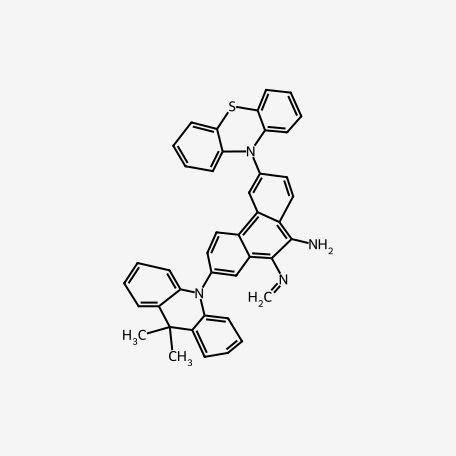 C=Nc1c(N)c2ccc(N3c4ccccc4Sc4ccccc43)cc2c2ccc(N3c4ccccc4C(C)(C)c4ccccc43)cc12